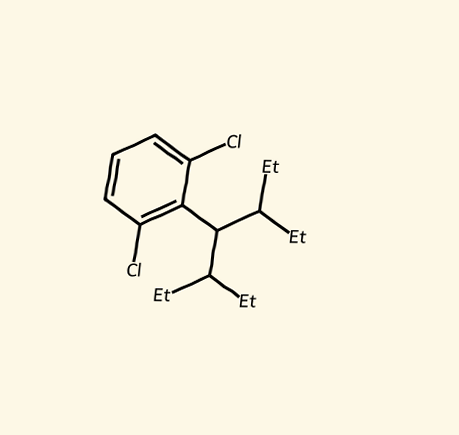 CCC(CC)C(c1c(Cl)cccc1Cl)C(CC)CC